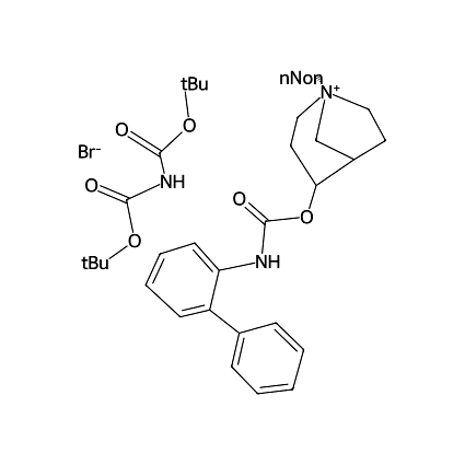 CC(C)(C)OC(=O)NC(=O)OC(C)(C)C.CCCCCCCCC[N@+]12CCC(C1)C(OC(=O)Nc1ccccc1-c1ccccc1)CC2.[Br-]